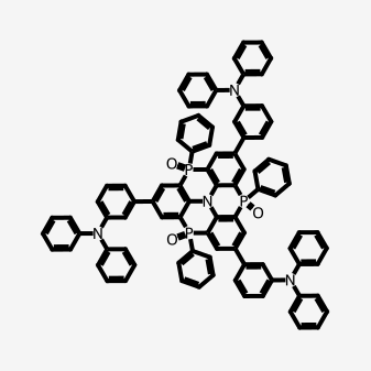 O=P1(c2ccccc2)c2cc(-c3cccc(N(c4ccccc4)c4ccccc4)c3)cc3c2N2c4c1cc(-c1cccc(N(c5ccccc5)c5ccccc5)c1)cc4P(=O)(c1ccccc1)c1cc(-c4cccc(N(c5ccccc5)c5ccccc5)c4)cc(c12)P3(=O)c1ccccc1